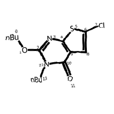 CCCCOc1nc2sc(Cl)cc2c(=O)n1CCCC